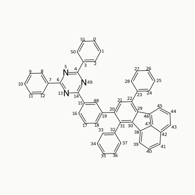 c1ccc(-c2nc(-c3ccccc3)nc(-c3cccc(-c4cc(-c5ccccc5)c5c(c4-c4ccccc4)-c4cccc6cccc-5c46)c3)n2)cc1